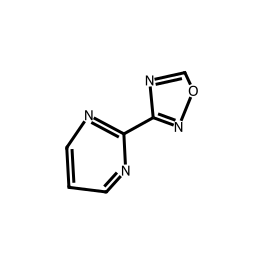 c1cnc(-c2ncon2)nc1